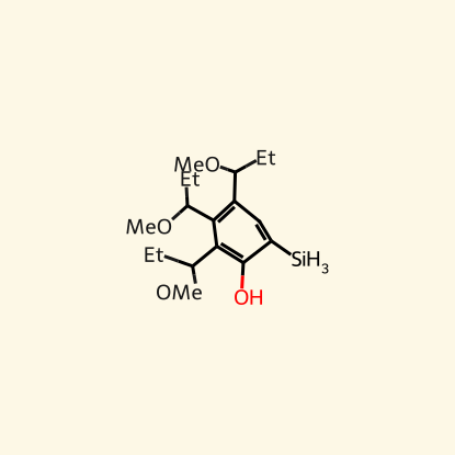 CCC(OC)c1cc([SiH3])c(O)c(C(CC)OC)c1C(CC)OC